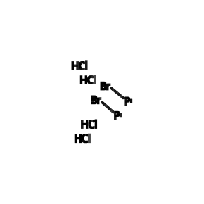 Cl.Cl.Cl.Cl.[P]Br.[P]Br